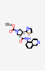 CC(C)(C)OC(=O)N1C[C@@H](C(=O)Nc2cccc3cnccc23)[C@H](c2nccs2)C1